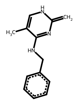 C=C1N=C(NCc2ccccc2)C(C)=CN1